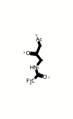 CC(=O)CC(=O)CNC(=O)C(F)(F)F